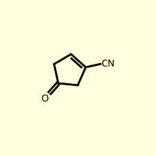 N#CC1=CCC(=O)C1